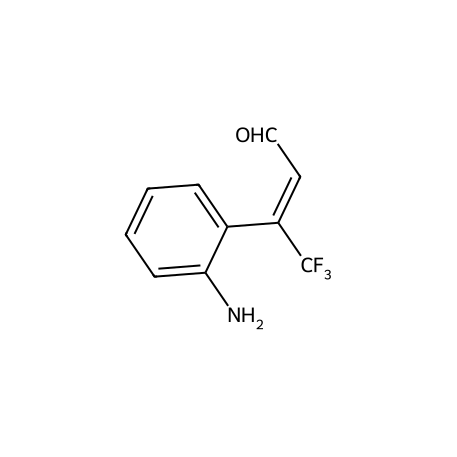 Nc1ccccc1/C(=C\C=O)C(F)(F)F